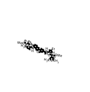 CC[C@H]1CC(c2ncc(-c3ccc4c(c3)COc3cc5c(ccc6nc(C7CC[C@H](C)N7C(=O)[C@@H](NC(=O)OC)C(C)C)[nH]c65)cc3-4)[nH]2)N(C(=O)C(NC(=O)OC)[C@@H]2CC(C)O[C@H](C)C2)C1